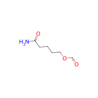 NC(=O)CCCCOC=O